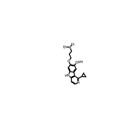 CCN(CC)CCCOc1cc2[nH]c3ccnc(C4CC4)c3c2cc1OC